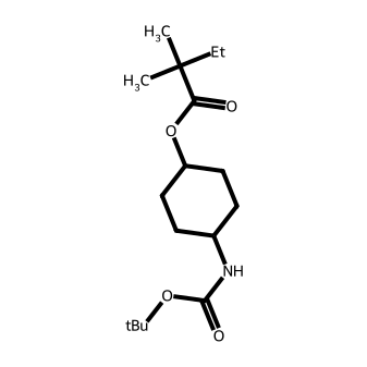 CCC(C)(C)C(=O)OC1CCC(NC(=O)OC(C)(C)C)CC1